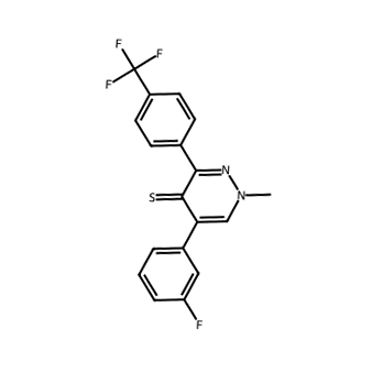 Cn1cc(-c2cccc(F)c2)c(=S)c(-c2ccc(C(F)(F)F)cc2)n1